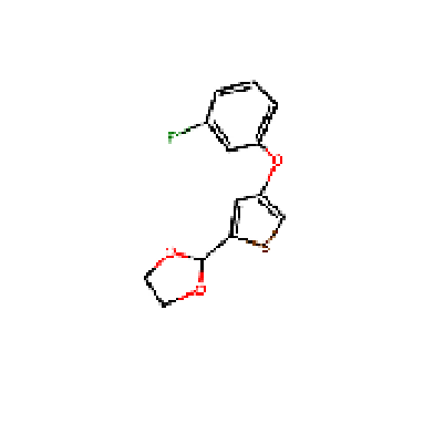 Fc1cccc(Oc2csc(C3OCCO3)c2)c1